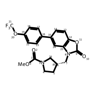 COC(=O)N1CC[C@@H](Cn2c(=O)oc3ccc(-c4ccc(OC(F)(F)F)cc4)cc32)C1